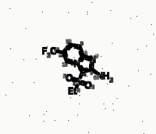 CCS(=O)(=O)c1c(N)nc2ccc(C(F)(F)F)cn12